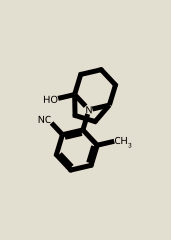 Cc1cccc(C#N)c1N1C2CCCC1(O)CC2